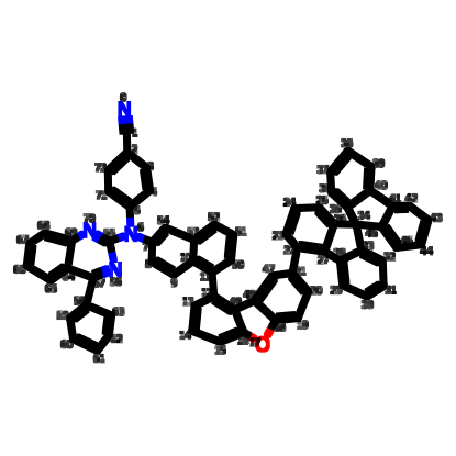 N#Cc1ccc(N(c2ccc3c(-c4cccc5oc6ccc(-c7cccc8c7-c7ccccc7C87c8ccccc8-c8ccccc87)cc6c45)cccc3c2)c2nc(-c3ccccc3)c3ccccc3n2)cc1